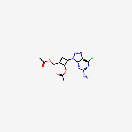 CC(=O)OCC1CC(n2cnc3c(Cl)nc(N)nc32)C1OC(C)=O